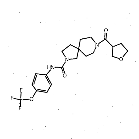 O=C(Nc1ccc(OC(F)(F)F)cc1)N1CCC2(CCN(C(=O)C3CCOC3)CC2)C1